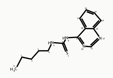 CCCCCNC(=S)Nc1ncnc2ccccc12